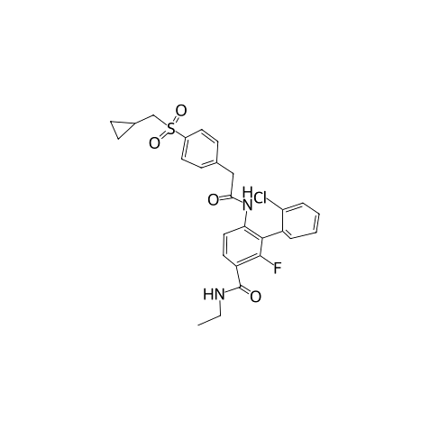 CCNC(=O)c1ccc(NC(=O)Cc2ccc(S(=O)(=O)CC3CC3)cc2)c(-c2ccccc2Cl)c1F